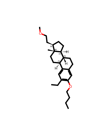 CCCCOc1cc2c(cc1CC)[C@H]1CC[C@]3(C)[C@@H](CCOC)CC[C@H]3[C@@H]1CC2